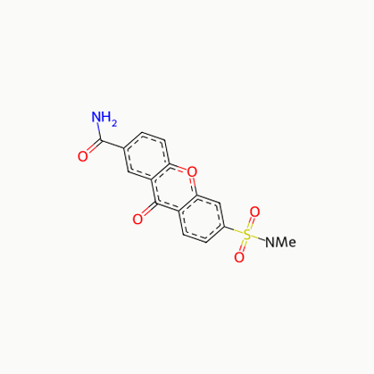 CNS(=O)(=O)c1ccc2c(=O)c3cc(C(N)=O)ccc3oc2c1